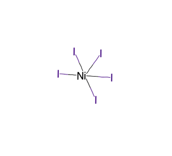 [I][Ni]([I])([I])([I])[I]